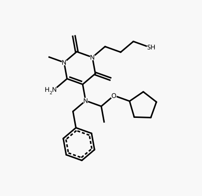 C=C1C(N(Cc2ccccc2)C(C)OC2CCCC2)=C(N)N(C)C(=C)N1CCCS